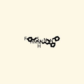 Fc1ccc(C2=CSC(NN=Cc3cc4c5ccccc5n(Cc5ccccc5)c4cn3)N2)cc1